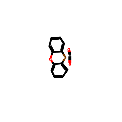 [O]=[Ti]=[O].c1ccc2c(c1)Oc1ccccc1S2